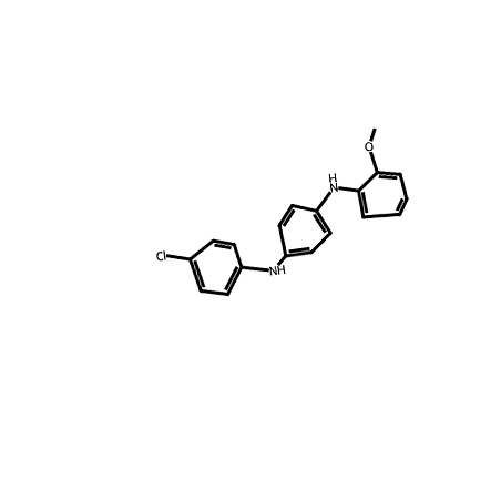 COc1ccccc1Nc1ccc(Nc2ccc(Cl)cc2)cc1